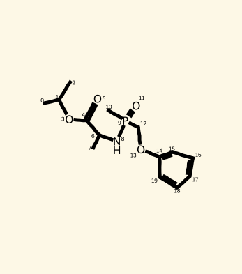 CC(C)OC(=O)C(C)NP(C)(=O)COc1ccccc1